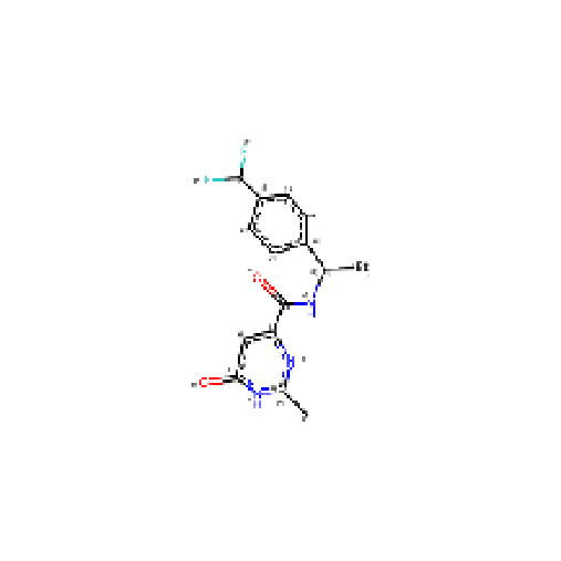 CC[C@@H](NC(=O)c1cc(=O)[nH]c(C)n1)c1ccc(C(F)F)cc1